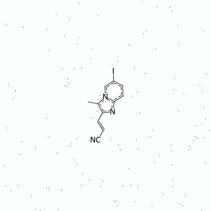 Cc1c(C=CC#N)nc2ccc(I)cn12